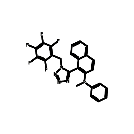 CP(c1ccccc1)c1ccc2ccccc2c1-c1nnnn1Cc1c(F)c(F)c(F)c(F)c1F